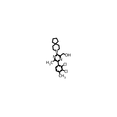 Cc1ccc(-c2nc(CO)c(N3CCC4(CCCC4)CC3)nc2C)c(Cl)c1Cl